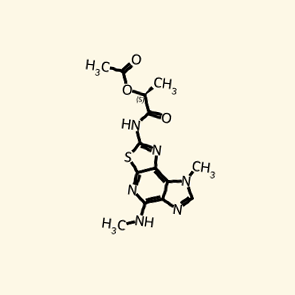 CNc1nc2sc(NC(=O)[C@H](C)OC(C)=O)nc2c2c1ncn2C